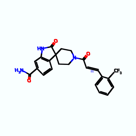 NC(=O)c1ccc2c(c1)NC(=O)C21CCN(C(=O)/C=C/c2ccccc2C(F)(F)F)CC1